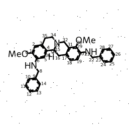 COc1cc2c(cc1NCc1ccccc1)[C@@H]1Cc3ccc(NCc4ccccc4)c(OC)c3CN1CC2